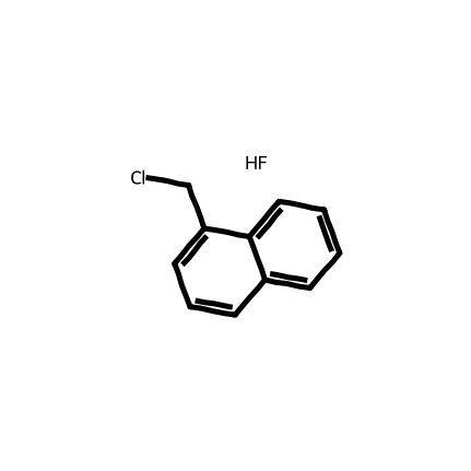 ClCc1cccc2ccccc12.F